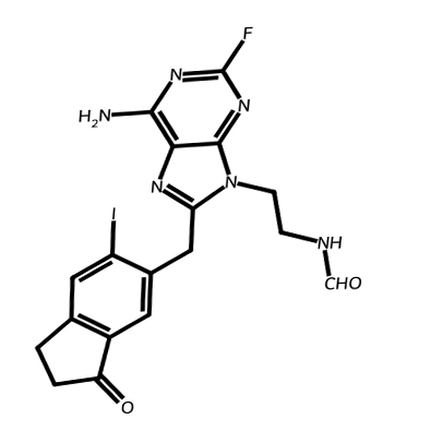 Nc1nc(F)nc2c1nc(Cc1cc3c(cc1I)CCC3=O)n2CCNC=O